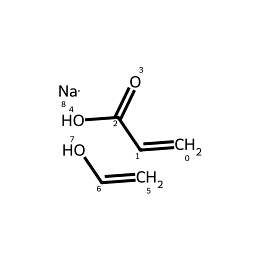 C=CC(=O)O.C=CO.[Na]